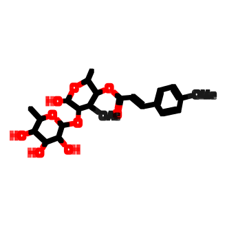 COc1ccc(/C=C/C(=O)OC2C(C)OC(O)C(OC3OC(C)C(O)C(O)C3O)C2OC(C)=O)cc1